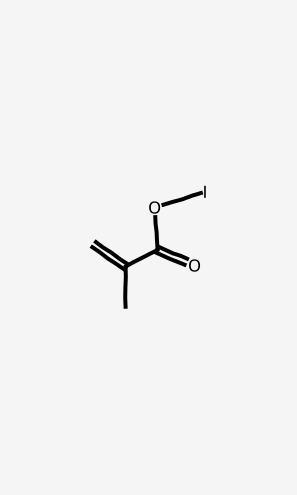 C=C(C)C(=O)OI